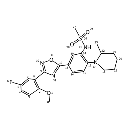 COc1ccc(F)cc1-c1noc(-c2ccc(N3CCCCC3C)c(NS(C)(=O)=O)c2)n1